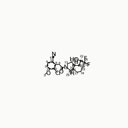 COc1ccc(C#N)c(CC(=O)N2CC[C@@H]3[C@H](CCC[C@H]3[C@@](C)(O)C(F)(F)F)[C@@H]2C)c1Cl